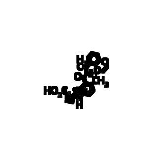 Cc1ccc(NC2(C(C)(C)C)CCN2C(=O)O)cc1C(=O)NC(C)c1cccc2c1OCCO2